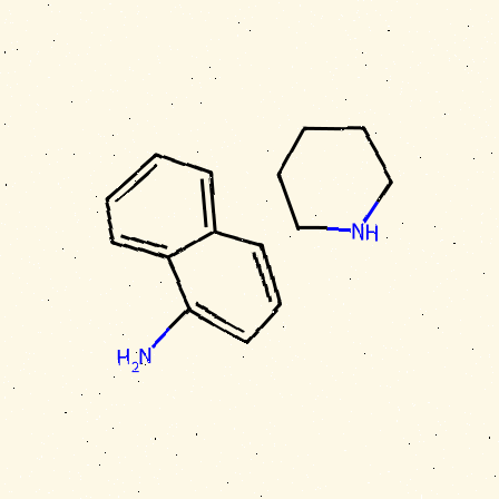 C1CCNCC1.Nc1cccc2ccccc12